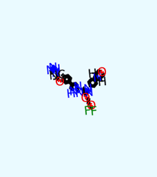 C[C@@H](Cn1cnnn1)Oc1cc(-c2cnc(Nc3cn([C@H]4CC[C@H](N5[C@@H]6CC[C@H]5COC6)CC4)nc3OCCOC(F)F)nc2)ccc1C#N